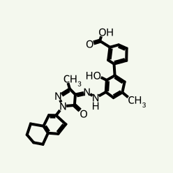 CC1=NN(c2ccc3c(c2)CCCC3)C(=O)C1=NNc1cc(C)cc(-c2cccc(C(=O)O)c2)c1O